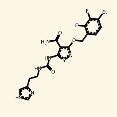 CCc1ccc(COc2nsc(NC(=O)NCCc3c[nH]cn3)c2C(N)=O)c(F)c1F